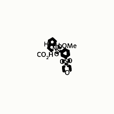 COc1ccc(S(=O)(=O)N2CCOCC2)cc1S(=O)(=O)N1[C@@H](C(=O)O)C[C@H]2CCC[C@H]21